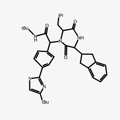 CC(C)CC1C(=O)NC(C2Cc3ccccc3C2)C(=O)N1C(C(=O)NC(C)(C)C)c1ccc(-c2nc(C(C)(C)C)cs2)cc1